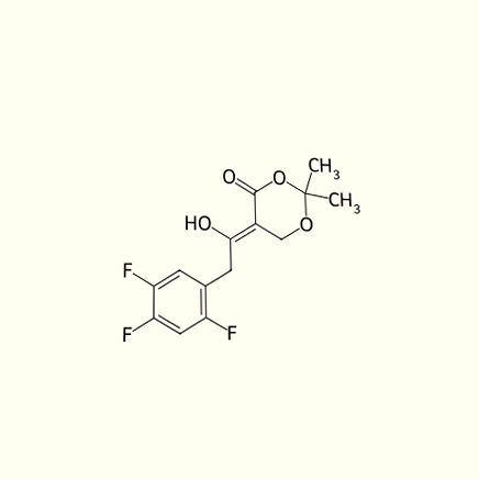 CC1(C)OC/C(=C(/O)Cc2cc(F)c(F)cc2F)C(=O)O1